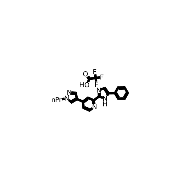 CCCn1cc(-c2ccnc(-c3ncc(-c4ccccc4)[nH]3)c2)cn1.O=C(O)C(F)(F)F